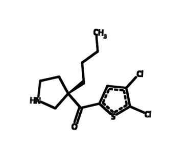 CCCC[C@]1(C(=O)c2cc(Cl)c(Cl)s2)CCNC1